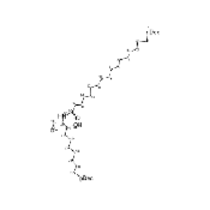 CCCCCCCCCCCCCCCCCCCCCCCCCCC(=O)N[C@@H](CO)[C@H](O)CCCCCCCCCCCCCCCCC